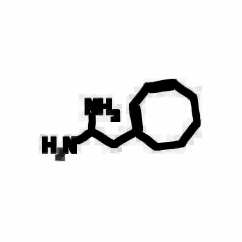 NC(N)CC1=CC=CCCCC1